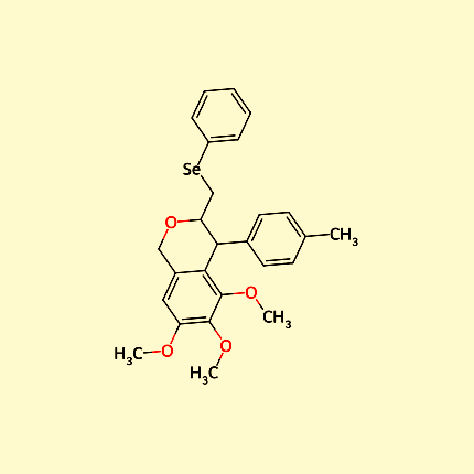 COc1cc2c(c(OC)c1OC)C(c1ccc(C)cc1)C(C[Se]c1ccccc1)OC2